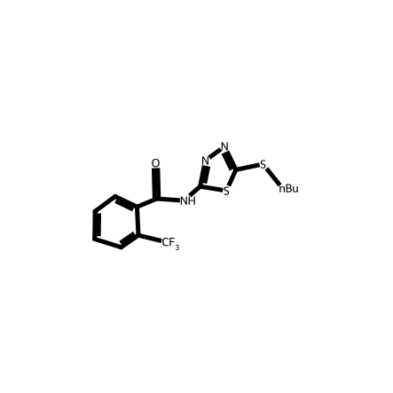 CCCCSc1nnc(NC(=O)c2ccccc2C(F)(F)F)s1